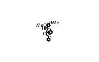 COc1ccc(NC(=O)CN2C(=O)CC(c3ccccc3)=Nc3ccccc32)c(OC)c1